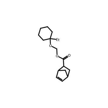 CCC1(OCOC(=O)C2CC3C=CC2C3)CCCCC1